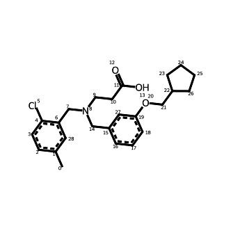 Cc1ccc(Cl)c(CN(CCC(=O)O)Cc2cccc(OCC3CCCC3)c2)c1